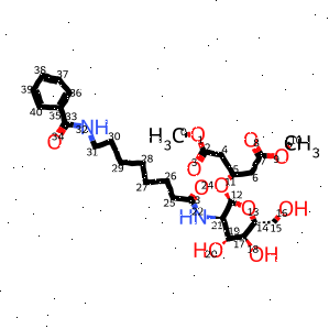 COC(=O)CC(CC(=O)OC)O[C@H]1O[C@H](CO)[C@@H](O)[C@H](O)[C@H]1NC(=O)CCCCCCCNC(=O)c1ccccc1